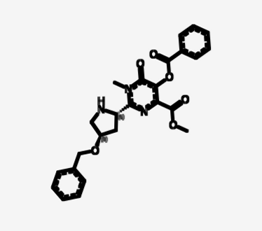 COC(=O)c1nc([C@@H]2C[C@@H](OCc3ccccc3)CN2)n(C)c(=O)c1OC(=O)c1ccccc1